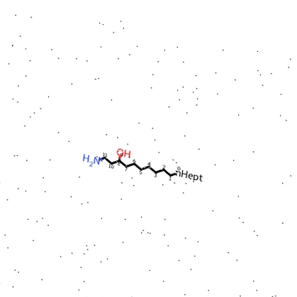 CCCCCCCCCCCCCCC(O)CCN